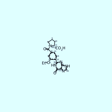 CCOc1cc(C(=O)N2CCC[C@@H]2C(=O)O)ccc1-c1nc2[nH]cnc2c(=O)[nH]1